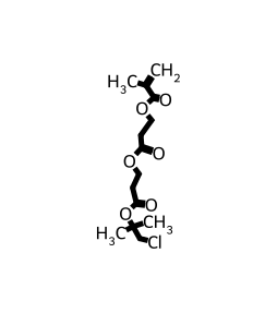 C=C(C)C(=O)OCCC(=O)OCCC(=O)OC(C)(C)CCl